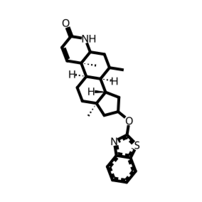 CC1CC2NC(=O)C=C[C@]2(C)[C@@H]2CC[C@]3(C)CC(Oc4nc5ccccc5s4)C[C@H]3[C@H]12